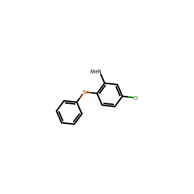 CNc1cc(Cl)ccc1Sc1ccccc1